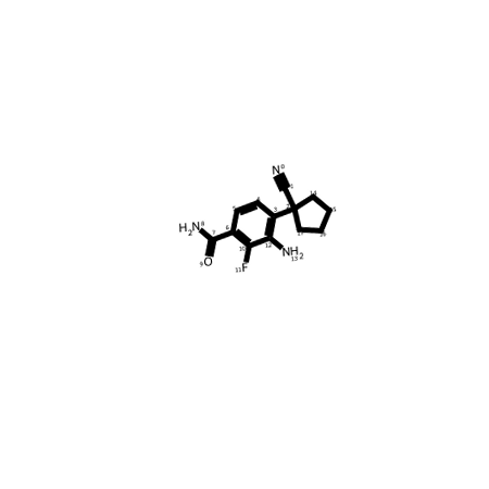 N#CC1(c2ccc(C(N)=O)c(F)c2N)CCCC1